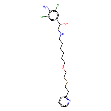 Nc1c(Cl)cc(C(O)CNCCCCCCOCCSCCc2ccccn2)cc1Cl